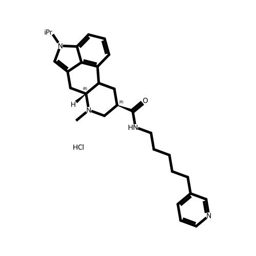 CC(C)n1cc2c3c(cccc31)C1C[C@@H](C(=O)NCCCCCc3cccnc3)CN(C)[C@@H]1C2.Cl